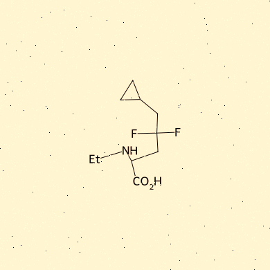 CCNC(CC(F)(F)CC1CC1)C(=O)O